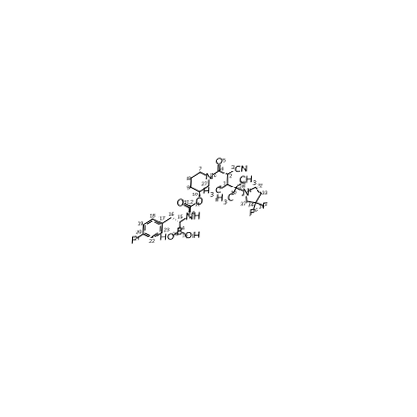 CC(C(C#N)C(=O)N1CCC[C@H](OC(=O)N[C@@H](Cc2ccc(F)cc2)B(O)O)C1)C(C)(C)N1CCC(F)(F)C1